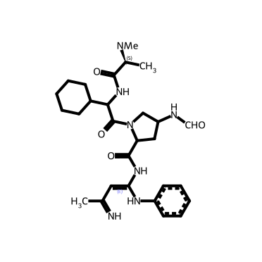 CN[C@@H](C)C(=O)NC(C(=O)N1CC(NC=O)CC1C(=O)N/C(=C/C(C)=N)Nc1ccccc1)C1CCCCC1